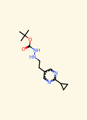 CC(C)(C)OC(=O)NNCCc1cnc(C2CC2)nc1